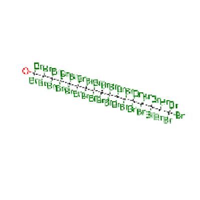 [O]C(Br)(Br)C(Br)(Br)C(Br)(Br)C(Br)(Br)C(Br)(Br)C(Br)(Br)C(Br)(Br)C(Br)(Br)C(Br)(Br)C(Br)(Br)C(Br)(Br)C(Br)(Br)C(Br)(Br)C(Br)(Br)C(Br)(Br)C(Br)(Br)C(Br)(Br)Br